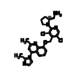 Cc1cc(-n2ccnc2C)c2cccc(OCc3c(Cl)cnc(N4CCC[C@H]4CN)c3Cl)c2n1